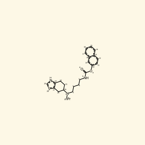 CCCN(CCCCNC(=O)Oc1ccc2ccccc2c1)C1CCc2ncsc2C1